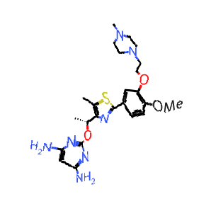 COc1ccc(-c2nc([C@@H](C)Oc3nc(N)cc(N)n3)c(C)s2)cc1OCCN1CCN(C)CC1